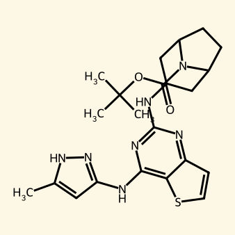 Cc1cc(Nc2nc(NC3CC4CCC(C3)N4C(=O)OC(C)(C)C)nc3ccsc23)n[nH]1